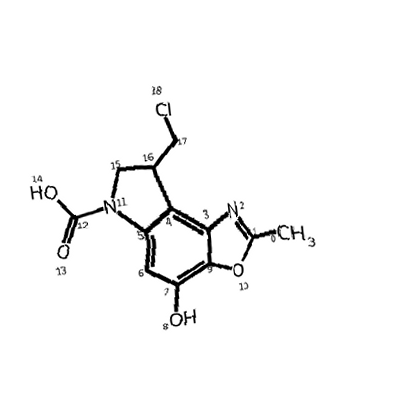 Cc1nc2c3c(cc(O)c2o1)N(C(=O)O)CC3CCl